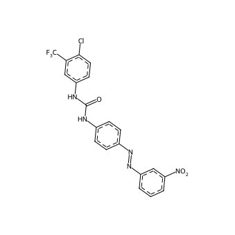 O=C(Nc1ccc(N=Nc2cccc([N+](=O)[O-])c2)cc1)Nc1ccc(Cl)c(C(F)(F)F)c1